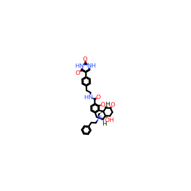 O=C(NCCc1ccc(-c2c[nH]c(=O)[nH]c2=O)cc1)c1ccc2c3c1O[C@H]1C(=O)CC[C@@]4(O)[C@@H](C2)N(CCc2ccccc2)CC[C@]314